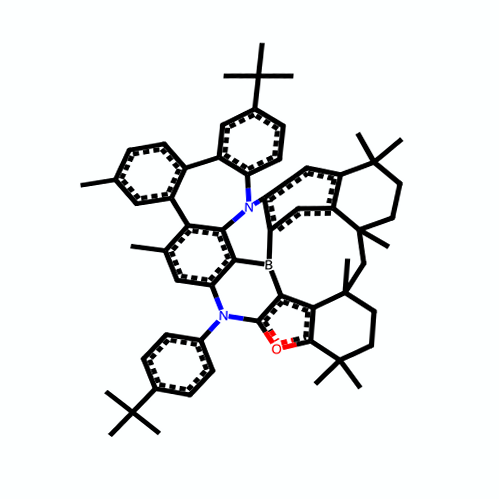 Cc1ccc2c(c1)-c1c(C)cc3c4c1N(c1cc5c6cc1B4c1c(oc4c1C(C)(CCC4(C)C)CC6(C)CCC5(C)C)N3c1ccc(C(C)(C)C)cc1)c1ccc(C(C)(C)C)cc1-2